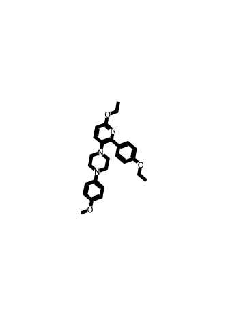 CCOc1ccc(-c2nc(OCC)ccc2N2CCN(c3ccc(OC)cc3)CC2)cc1